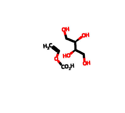 C=COC(=O)O.OC[C@@H](O)[C@H](O)CO